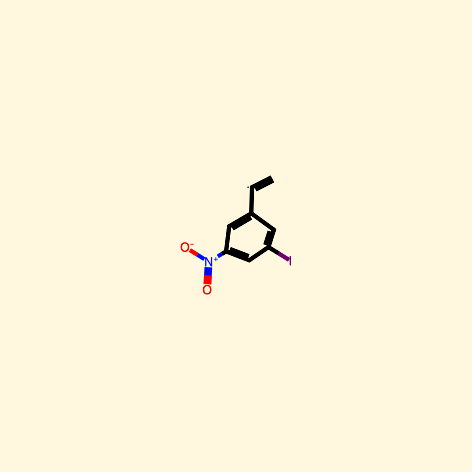 C=[C]c1cc(I)cc([N+](=O)[O-])c1